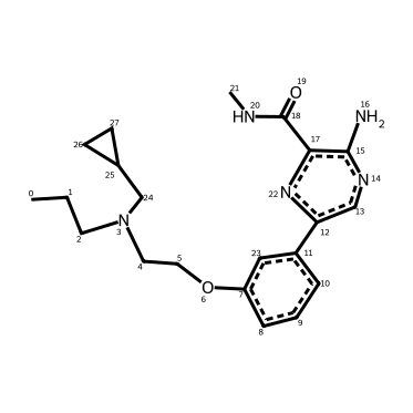 CCCN(CCOc1cccc(-c2cnc(N)c(C(=O)NC)n2)c1)CC1CC1